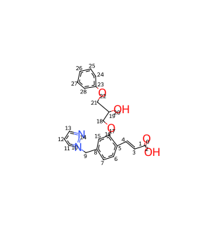 O=C(O)C=Cc1ccc(Cn2cccn2)cc1OCC(O)COc1ccccc1